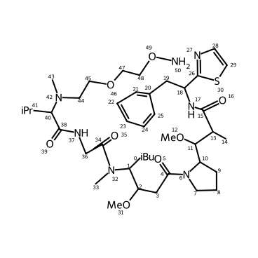 CCC(C)C(C(CC(=O)N1CCCC1C(OC)C(C)C(=O)NC(Cc1ccccc1)c1nccs1)OC)N(C)C(=O)CNC(=O)C(C(C)C)N(C)CCOCCON